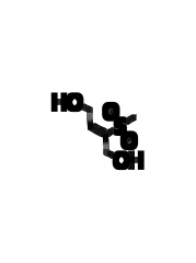 CS(=O)(=O)/C(=C\CO)CO